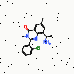 Cc1cc([C@@H](C)N)c2nc(-c3ccccc3Cl)n(C)c(=O)c2c1